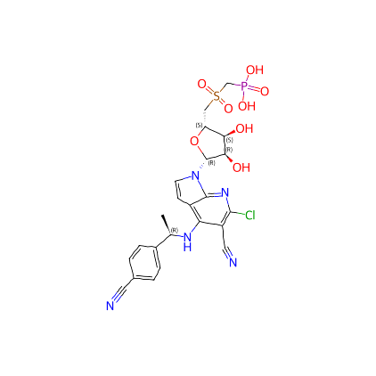 C[C@@H](Nc1c(C#N)c(Cl)nc2c1ccn2[C@@H]1O[C@H](CS(=O)(=O)CP(=O)(O)O)[C@@H](O)[C@H]1O)c1ccc(C#N)cc1